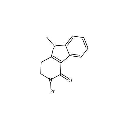 CC(C)N1CCc2c(c3ccccc3n2C)C1=O